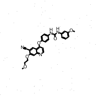 COCCOc1cc2nccc(Oc3ccc(NC(=O)Nc4cccc(OC)c4)cc3)c2cc1C#N